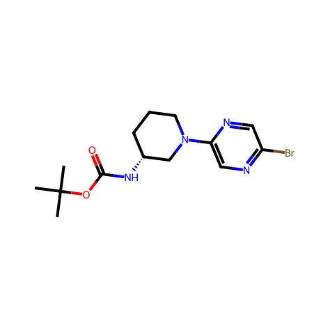 CC(C)(C)OC(=O)N[C@@H]1CCCN(c2cnc(Br)cn2)C1